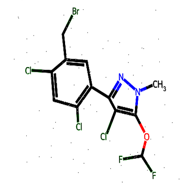 Cn1nc(-c2cc(CBr)c(Cl)cc2Cl)c(Cl)c1OC(F)F